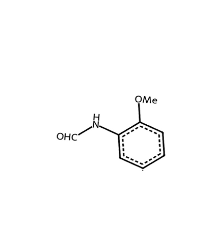 COc1cc[c]cc1NC=O